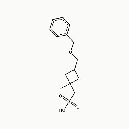 O=S(=O)(O)CC1(F)CC(COCc2ccccc2)C1